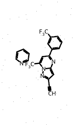 C#Cc1cc2nc(-c3cccc(C(F)(F)F)c3)cc(C(F)(F)F)n2n1.c1ccncc1